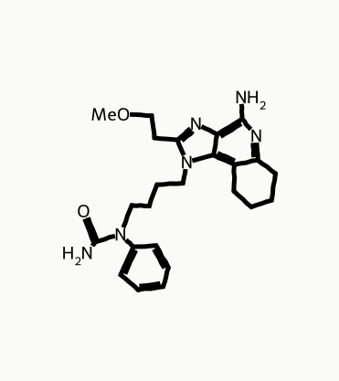 COCCc1nc2c(N)nc3c(c2n1CCCCN(C(N)=O)c1ccccc1)CCCC3